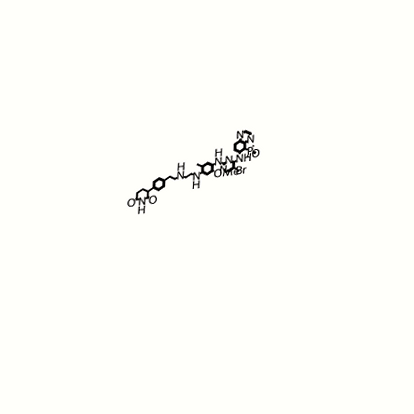 COc1cc(NCCNCCc2ccc(C3CCC(=O)NC3=O)cc2)c(C)cc1Nc1ncc(Br)c(Nc2ccc3nccnc3c2P(C)(C)=O)n1